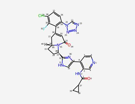 O=C(Nc1cnccc1-c1c[nH]c([C@H]2CC[C@@H]3CC(c4c(-n5cnnn5)ccc(Cl)c4F)=CC(=O)N32)n1)C1CC1